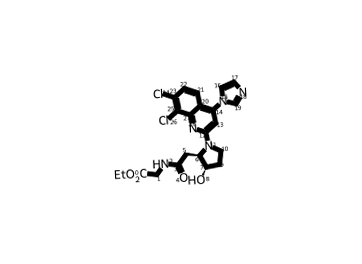 CCOC(=O)CNC(=O)C[C@@H]1[C@@H](O)CCN1c1cc(-n2ccnc2)c2ccc(Cl)c(Cl)c2n1